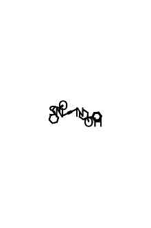 O=C1CSC2(CCCCC2)N1CC#CCN1CCC(O)(c2ccccc2)CC1